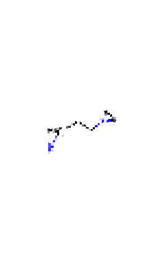 C1CN1.O=C(O)CCN1CC1